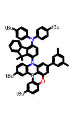 Cc1cc(C)cc(-c2cc3c4c(c2)N(c2ccc(N(c5ccc(C(C)(C)C)cc5)c5ccc(C(C)(C)C)cc5)c5c2C(C)(C)c2ccccc2-5)c2ccc(C(C)(C)C)cc2B4c2cc(C(C)(C)C)ccc2O3)c1